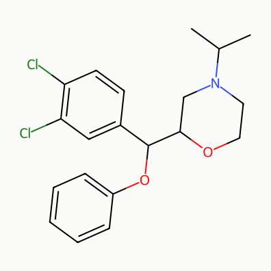 CC(C)N1CCOC(C(Oc2ccccc2)c2ccc(Cl)c(Cl)c2)C1